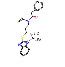 CC(C)(C)C(C(=O)O)n1c(SCCCN(C(=O)Cc2ccccc2)C2CC2)nc2ccccc21